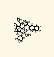 CC(=O)c1c(C(N(C(=O)O)C2CCOCC2)C(C)(C)C)nc2c(-c3cnc4ccccc4c3)cnn2c1N